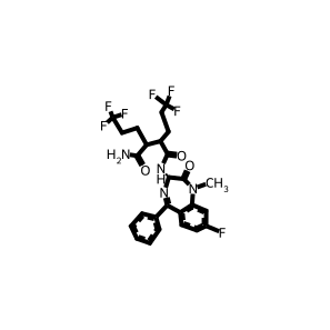 CN1C(=O)[C@@H](NC(=O)C(CCC(F)(F)F)C(CCC(F)(F)F)C(N)=O)N=C(c2ccccc2)c2ccc(F)cc21